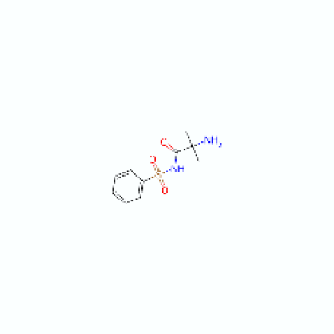 CC(C)(N)C(=O)NS(=O)(=O)c1ccccc1